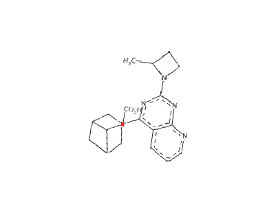 CC1CCN1c1nc(N2CC3CC(C2)C3CC(=O)O)c2cccnc2n1